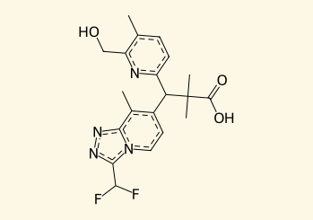 Cc1ccc(C(c2ccn3c(C(F)F)nnc3c2C)C(C)(C)C(=O)O)nc1CO